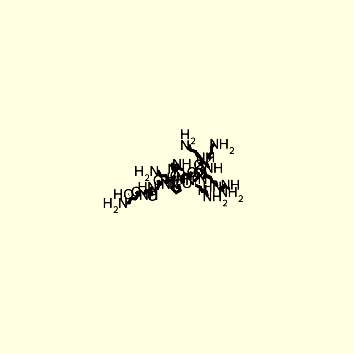 N=C(N)NCC/C=C(\NC(=O)[C@H](CCCCN)NC(=O)[C@H](Cc1cnc[nH]1)NC(=O)[C@@H]1CCCN1C(=O)/C(CCCN)=N/C(=O)CNC(=O)CNC(=O)C[C@@H](O)CN)C(=O)N[C@@H](CCCCN)C(=O)NCCCCN